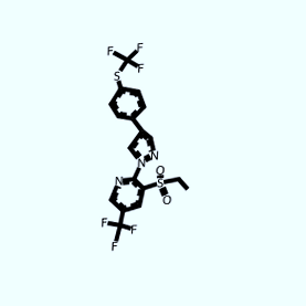 CCS(=O)(=O)c1cc(C(F)(F)F)cnc1-n1cc(-c2ccc(SC(F)(F)F)cc2)cn1